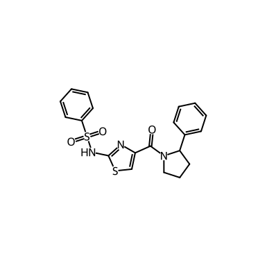 O=C(c1csc(NS(=O)(=O)c2ccccc2)n1)N1CCCC1c1ccccc1